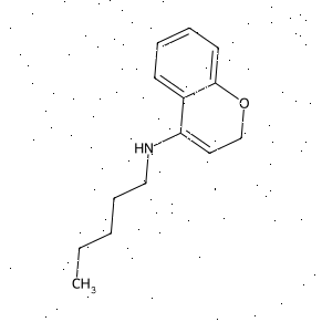 CCCCCNC1=CCOc2ccccc21